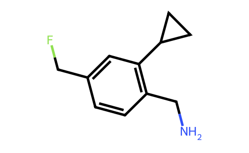 NCc1ccc(CF)cc1C1CC1